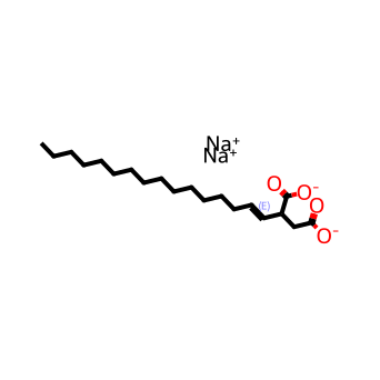 CCCCCCCCCCCCCC/C=C/C(CC(=O)[O-])C(=O)[O-].[Na+].[Na+]